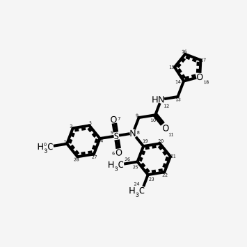 Cc1ccc(S(=O)(=O)N(CC(=O)NCc2ccco2)c2cccc(C)c2C)cc1